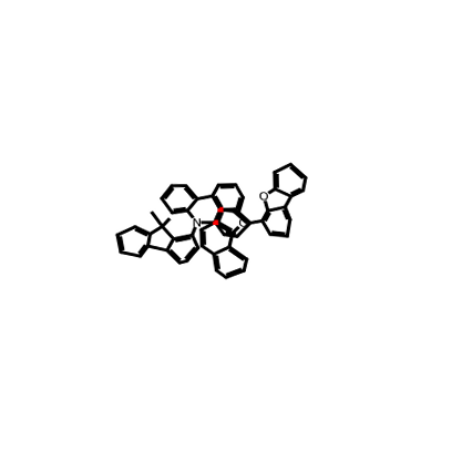 CC1(C)c2ccccc2-c2cccc(N(c3ccc(-c4cccc5c4oc4ccccc45)cc3)c3ccccc3-c3cccc4oc5c6ccccc6ccc5c34)c21